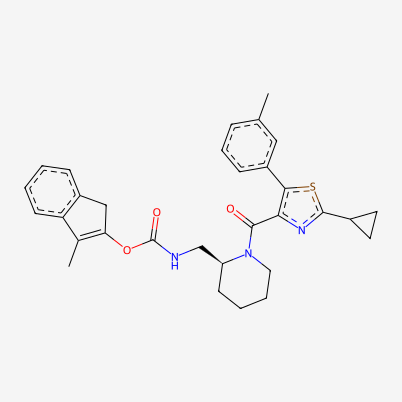 CC1=C(OC(=O)NC[C@@H]2CCCCN2C(=O)c2nc(C3CC3)sc2-c2cccc(C)c2)Cc2ccccc21